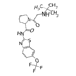 CC(C)(C)NCC(=O)N1CCCC1C(=O)Nc1nc2ccc(OC(F)(F)F)cc2s1